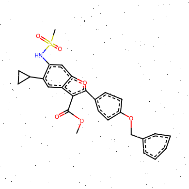 COC(=O)c1c(-c2ccc(OCc3ccccc3)cc2)oc2cc(NS(C)(=O)=O)c(C3CC3)cc12